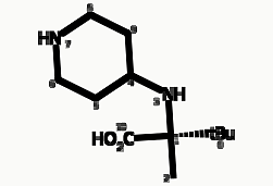 CC(C)(C)[C@@](C)(NC1CCNCC1)C(=O)O